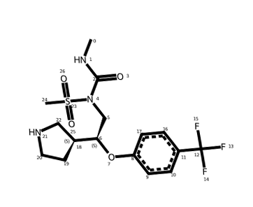 CNC(=O)N(C[C@@H](Oc1ccc(C(F)(F)F)cc1)[C@H]1CCNC1)S(C)(=O)=O